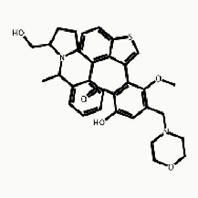 COc1c(CN2CCOCC2)cc(O)c(C=O)c1-c1csc2cccc(-c3ccccc3C(C)N3CCC[C@@H]3CO)c12